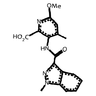 COc1cc(C)c(NC(=O)c2nn(C)c3ccccc23)c(C(=O)O)n1